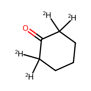 [2H]C1([2H])CCCC([2H])([2H])C1=O